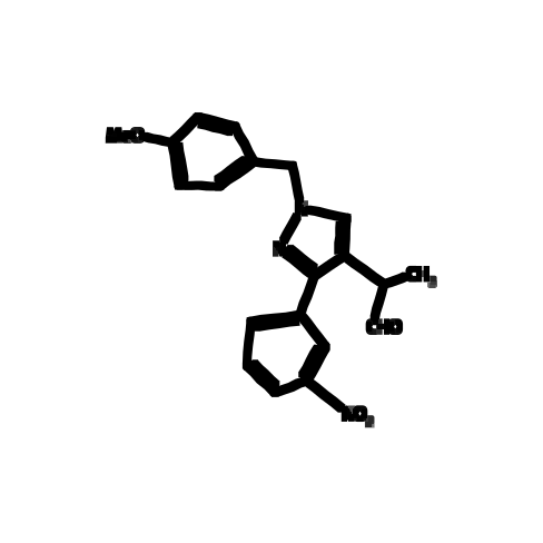 COc1ccc(Cn2cc(C(C)C=O)c(-c3cccc([N+](=O)[O-])c3)n2)cc1